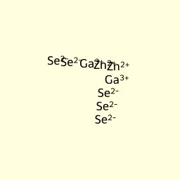 [Ga+3].[Ga+3].[Se-2].[Se-2].[Se-2].[Se-2].[Se-2].[Zn+2].[Zn+2]